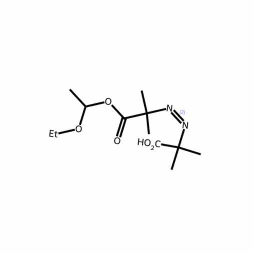 CCOC(C)OC(=O)C(C)(C)/N=N\C(C)(C)C(=O)O